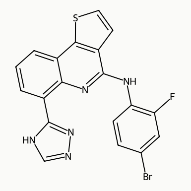 Fc1cc(Br)ccc1Nc1nc2c(-c3nnc[nH]3)cccc2c2sccc12